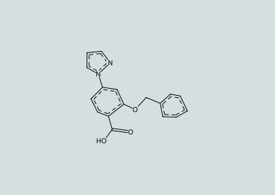 O=C(O)c1ccc(-n2cccn2)cc1OCc1ccccc1